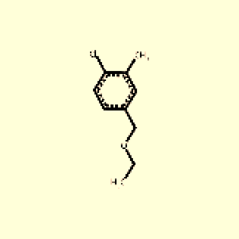 CCOCc1ccc(Cl)c(C)c1